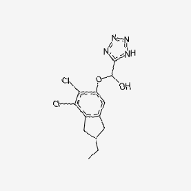 CCC1Cc2cc(OC(O)c3nnn[nH]3)c(Cl)c(Cl)c2C1